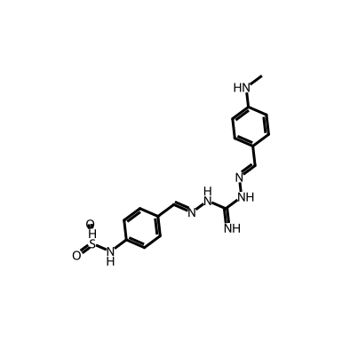 CNc1ccc(/C=N/NC(=N)N/N=C/c2ccc(N[SH](=O)=O)cc2)cc1